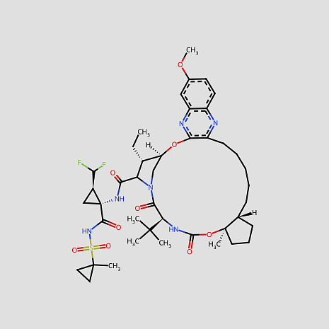 CC[C@H]1C(C(=O)N[C@]2(C(=O)NS(=O)(=O)C3(C)CC3)C[C@H]2C(F)F)N2C[C@@H]1Oc1nc3cc(OC)ccc3nc1CCCCC[C@@H]1CCC[C@@]1(C)OC(=O)N[C@@H](C(C)(C)C)C2=O